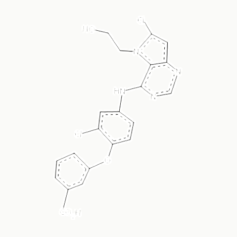 O=C(O)c1cccc(Oc2ccc(Nc3ncnc4cc(Cl)n(CCO)c34)cc2Cl)c1